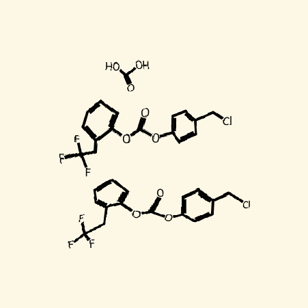 O=C(O)O.O=C(Oc1ccc(CCl)cc1)Oc1ccccc1CC(F)(F)F.O=C(Oc1ccc(CCl)cc1)Oc1ccccc1CC(F)(F)F